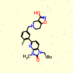 Cn1c(=O)n(CC(C)(C)C)c2ccc(-c3cc(CN4CCc5onc(O)c5C4)ccc3F)nc21